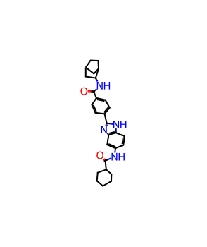 O=C(NC1CC2CCC1C2)c1ccc(-c2nc3cc(NC(=O)C4CCCCC4)ccc3[nH]2)cc1